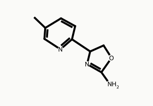 Cc1ccc(C2COC(N)=N2)nc1